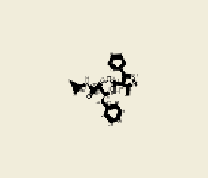 Cc1nsc(-c2ccccc2)c1C(=O)N[C@@H](Cc1ccccc1)C(=O)C(=O)NC1CC1